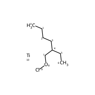 CCCCC(CC)COCl.[Ti]